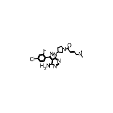 CN(C)CC=CC(=O)N1CCC(n2nc(-c3ccc(Cl)cc3F)c3c(N)ncnc32)C1